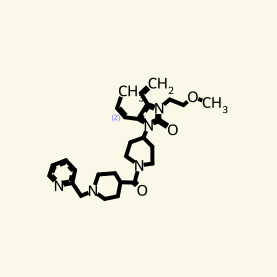 C=Cc1c(/C=C\C)n(C2CCN(C(=O)C3CCN(Cc4ccccn4)CC3)CC2)c(=O)n1CCOC